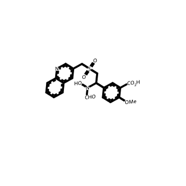 COc1ccc(C(CS(=O)(=O)Cc2cnc3ccccc3c2)N(O)C=O)cc1C(=O)O